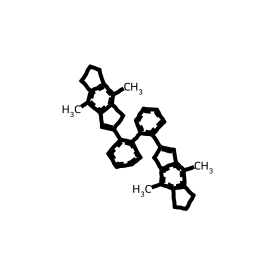 Cc1c2c(c(C)c3c1CCC3)CC(c1ccccc1-c1ccccc1C1=Cc3c(C)c4c(c(C)c3C1)CCC4)=C2